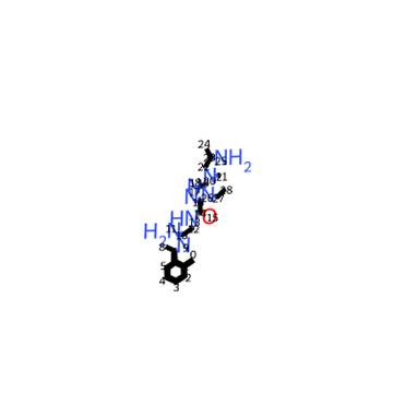 C=c1cccc/c1=C(C)/N=C(\N)CNC(=O)c1nnc(N(C)CC(C)N)n1CC